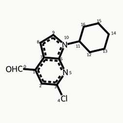 O=Cc1cc(Cl)nc2c1ccn2C1CCCCC1